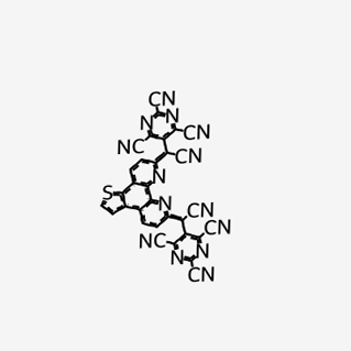 N#C/C(c1c(C#N)nc(C#N)nc1C#N)=c1/ccc2c3ccsc3c3cc/c(=C(/C#N)c4c(C#N)nc(C#N)nc4C#N)nc3c2n1